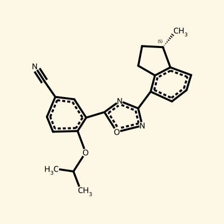 CC(C)Oc1ccc(C#N)cc1-c1nc(-c2cccc3c2CC[C@@H]3C)no1